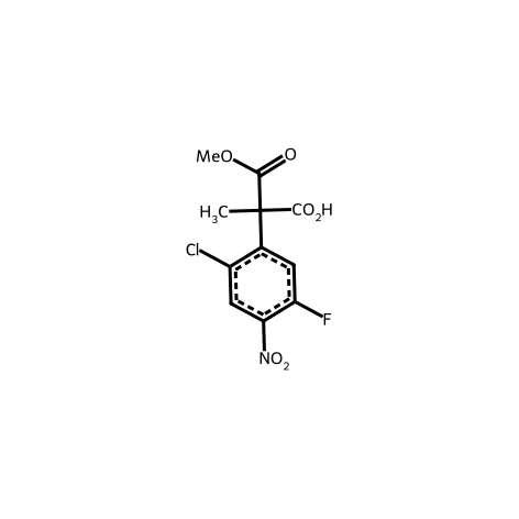 COC(=O)C(C)(C(=O)O)c1cc(F)c([N+](=O)[O-])cc1Cl